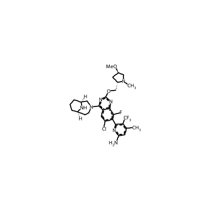 CO[C@@H]1C[C@@H](COc2nc(N3CC[C@H]4CCC[C@@H](C3)N4)c3cc(Cl)c(-c4nc(N)cc(C)c4C(F)(F)F)c(F)c3n2)N(C)C1